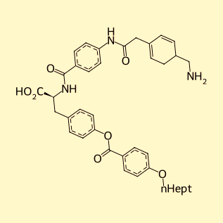 CCCCCCCOc1ccc(C(=O)Oc2ccc(C[C@H](NC(=O)c3ccc(NC(=O)CC4=CCC(CN)C=C4)cc3)C(=O)O)cc2)cc1